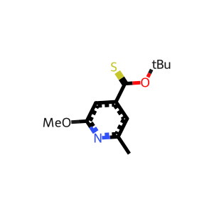 COc1cc(C(=S)OC(C)(C)C)cc(C)n1